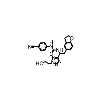 N#Cc1ccc(NC(=O)NC(Cc2ccc3c(c2)CCO3)c2nnn(CCO)n2)cc1